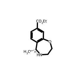 CCOC(=O)c1ccc2c(c1)OCCN[C@@H]2C